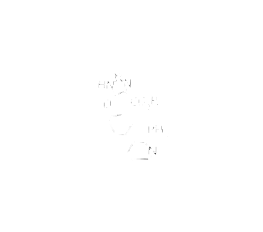 O=C(O)c1nn[nH]c1Oc1ccc(-c2cccnc2P)cc1